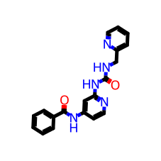 O=C(NCc1ccccn1)Nc1cc(NC(=O)c2ccccc2)ccn1